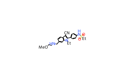 CCn1c(-c2ccc(NS(=O)(=O)CC)cc2)c(C#N)c2ccc(CNCCOC)cc21